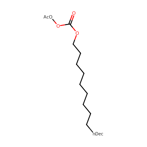 CCCCCCCCCCCCCCCCCCCOC(=O)OOC(C)=O